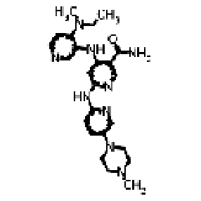 CCN(C)c1ccncc1Nc1cc(Nc2ccc(N3CCN(C)CC3)cn2)ncc1C(N)=O